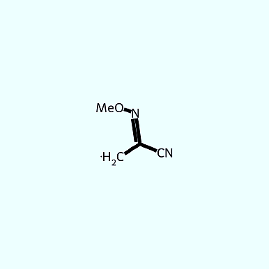 [CH2]/C(C#N)=N\OC